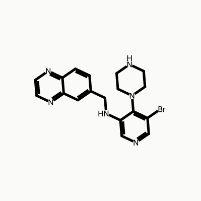 Brc1cncc(NCc2ccc3nccnc3c2)c1N1CCNCC1